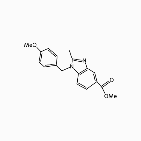 COC(=O)c1ccc2c(c1)nc(C)n2Cc1ccc(OC)cc1